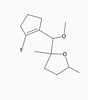 COC(C1=C(F)CCC1)C1(C)CCC(C)O1